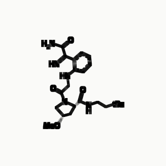 CO[C@H]1C[C@@H](C(=O)NCCC(C)(C)C)N(C(=O)CNc2ccccc2C(=N)C(N)=O)C1